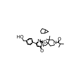 C1CC2CC2C1.CC(C)C(=O)N1CCC(O)(Cn2cnc(-c3ccc(CO)cc3)cc2=O)C(C)(C)C1